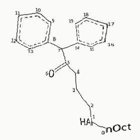 CCCCCCC[CH2][AlH][CH2]CCC(=O)C(c1ccccc1)c1ccccc1